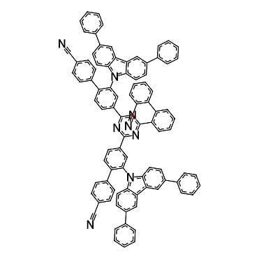 N#Cc1ccc(-c2ccc(-c3nc(-c4ccc(-c5ccc(C#N)cc5)c(-n5c6ccc(-c7ccccc7)cc6c6cc(-c7ccccc7)ccc65)c4)nc(-c4ccccc4-c4ccccc4C#N)n3)cc2-n2c3ccc(-c4ccccc4)cc3c3cc(-c4ccccc4)ccc32)cc1